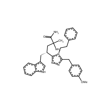 COc1ccc(Cc2nnc([C@H](Cc3c[nH]c4ccccc34)CC(C)(N)C(N)=O)n2CCc2ccccc2)cc1